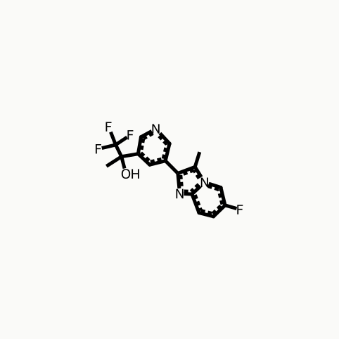 Cc1c(-c2cncc(C(C)(O)C(F)(F)F)c2)nc2ccc(F)cn12